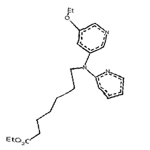 CCOC(=O)CCCCCCN(c1cncc(OCC)c1)c1ccccn1